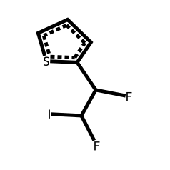 FC(I)C(F)c1cccs1